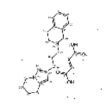 O=C(O)C=CC(=O)O.c1ccc2c(c1)CCN(CCOc1cc3n(n1)CCCC3)C2